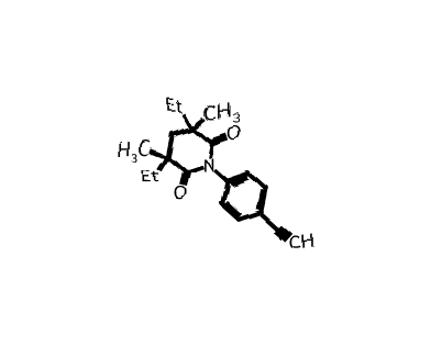 C#Cc1ccc(N2C(=O)C(C)(CC)CC(C)(CC)C2=O)cc1